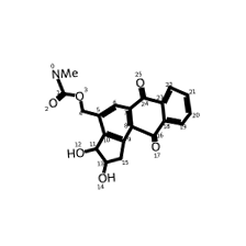 CNC(=O)OCc1cc2c(c3c1C(O)C(O)C3)C(=O)c1ccccc1C2=O